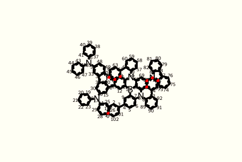 c1ccc(-c2ccc3c(c2)B2c4cc5c6cc(N(c7ccccc7)c7ccccc7)cc7c8cc(N(c9ccccc9)c9ccccc9)ccc8n(c5cc4N(c4ccccc4-c4ccccc4)c4cc(-n5c8ccccc8c8ccccc85)cc(c42)N3c2ccccc2-c2ccccc2)c76)cc1